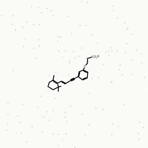 CC1=C(C=CC#Cc2cccc(CCCC(=O)O)c2)C(C)(C)CCC1